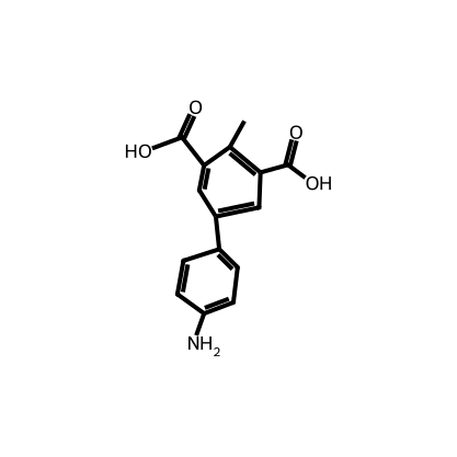 Cc1c(C(=O)O)cc(-c2ccc(N)cc2)cc1C(=O)O